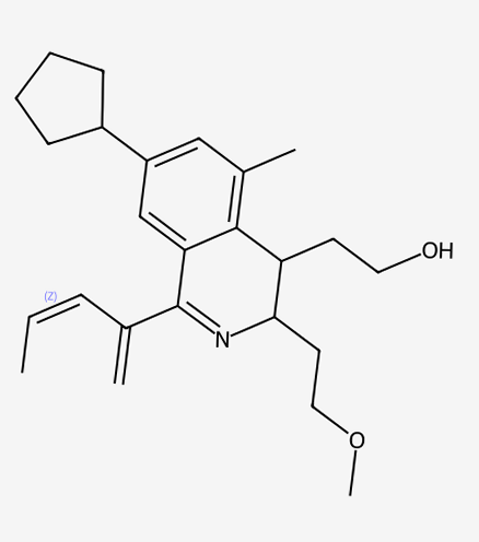 C=C(/C=C\C)C1=NC(CCOC)C(CCO)c2c(C)cc(C3CCCC3)cc21